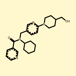 O=C(c1cccnc1)N(Cc1ccc(N2CCC(CO)CC2)nc1)C1CCCCC1